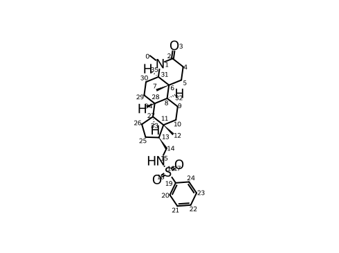 CN1C(=O)CC[C@]2(C)[C@H]3CC[C@]4(C)[C@@H](CNS(=O)(=O)c5ccccc5)CC[C@H]4[C@@H]3CC[C@@H]12